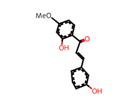 COc1ccc(C(=O)/C=C/c2cccc(O)c2)c(O)c1